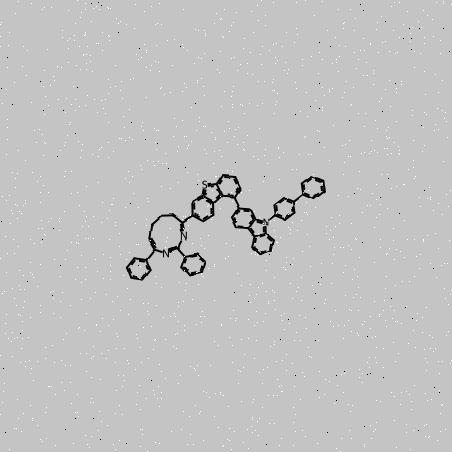 C1=C(c2ccccc2)/N=C(c2ccccc2)\N=C(\c2ccc3c(c2)sc2cccc(-c4ccc5c6ccccc6n(-c6ccc(-c7ccccc7)cc6)c5c4)c23)CCC\1